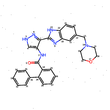 O=C(Nc1c[nH]nc1-c1nc2cc(CN3CCOCC3)ccc2[nH]1)c1ccccc1-c1ccccc1